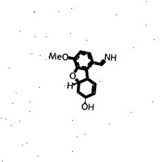 COc1ccc(C=N)c2c1O[C@H]1C[C@@H](O)C=CC21